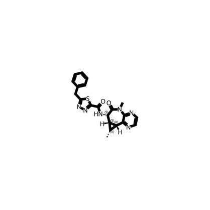 C[C@H]1[C@H]2c3nccnc3N(C)C(=O)[C@@H](NC(=O)c3nnc(Cc4ccccc4)s3)[C@@H]12